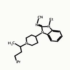 CCn1c(=NC#N)n(C2CCN(C(C)CCC(C)C)CC2)c2ccccc21